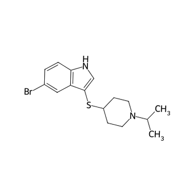 CC(C)N1CCC(Sc2c[nH]c3ccc(Br)cc23)CC1